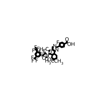 COc1cnc(-c2ccc(C(=O)O)cc2F)nc1C1=C(CN2C(=O)O[C@H](c3cc(C(F)(F)F)cc(C(F)(F)F)c3)[C@@H]2C)CC(C)(C)CC1